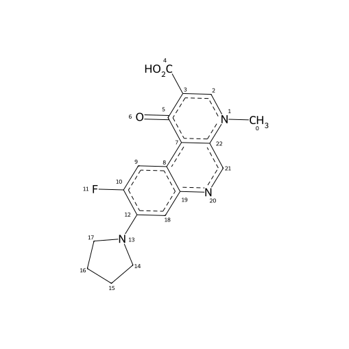 Cn1cc(C(=O)O)c(=O)c2c3cc(F)c(N4CCCC4)cc3ncc21